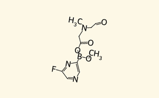 COB(OC(=O)CN(C)CC=O)c1cncc(F)n1